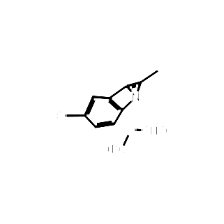 CC(C)(C)OC=O.Cc1c2c3cc(Cl)ccc3n1-2